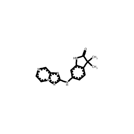 CC1(C)C(=O)Nc2cc(Nc3nc4[c]nccn4n3)ccc21